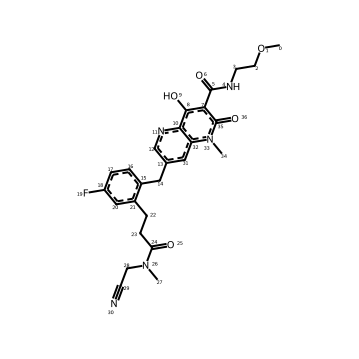 COCCNC(=O)c1c(O)c2ncc(Cc3ccc(F)cc3CCC(=O)N(C)CC#N)cc2n(C)c1=O